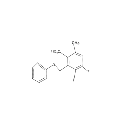 COc1cc(F)c(F)c(CSc2ccccc2)c1C(=O)O